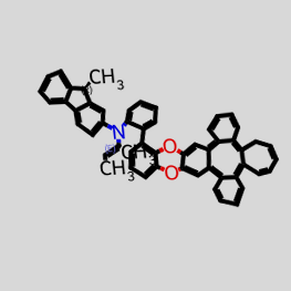 C/C=C(\C)N(c1ccc2c(c1)[C@H](C)c1ccccc1-2)c1ccccc1-c1cccc2oc3cc4c5ccccc5c5c(c6ccccc6c4cc3oc12)CC=CC=C5